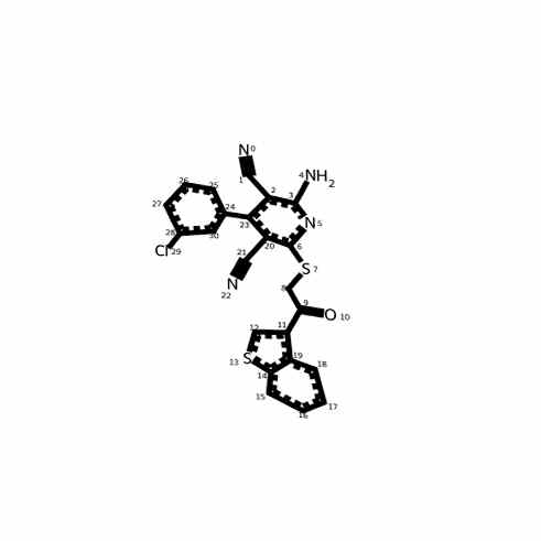 N#Cc1c(N)nc(SCC(=O)c2csc3ccccc23)c(C#N)c1-c1cccc(Cl)c1